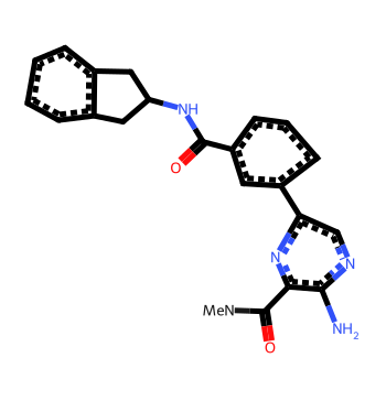 CNC(=O)c1nc(-c2cccc(C(=O)NC3Cc4ccccc4C3)c2)cnc1N